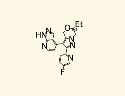 CC[C@@H]1Cn2nc(-c3ccc(F)cn3)c(-c3ccnc4[nH]ncc34)c2CO1